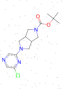 CC(C)(C)OC(=O)N1CC2CN(c3cncc(Cl)n3)CC2C1